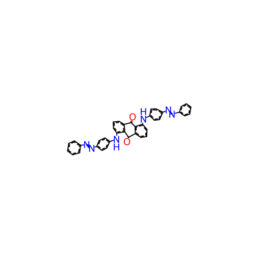 O=C1c2cccc(Nc3ccc(N=Nc4ccccc4)cc3)c2C(=O)c2cccc(Nc3ccc(N=Nc4ccccc4)cc3)c21